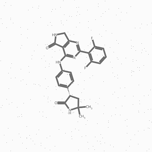 CC1(C)C[C@@H](c2ccc(Nc3nc(-c4c(F)cccc4F)nc4c3C(=O)NC4)cc2)C(=O)N1